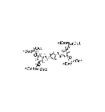 CCCCCCCCCCC(CCCCCCCC)COc1cc(/C=C/c2ccc(/C=C/c3cc(OCC(CCCCCCCC)CCCCCCCCCC)cc(OCC(CCCCCCCC)CCCCCCCCCC)c3)cc2)cc(OCC(CCCCCCCC)CCCCCCCCCC)c1